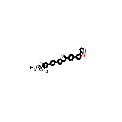 C[Si](C)(C)c1ccc(-c2ccc(-c3ccc4cc(-c5ccc(-c6ccc7oc8ncccc8c7c6)cc5)cnc4c3)cc2)cc1